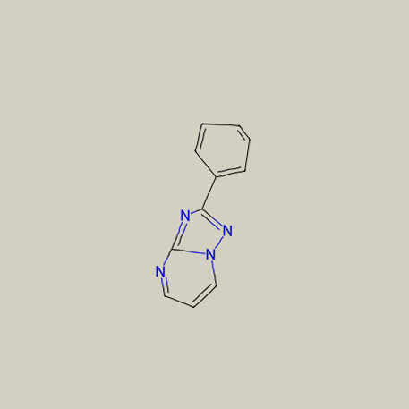 c1ccc(-c2nc3ncccn3n2)cc1